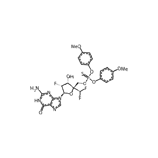 COc1ccc(OP(=S)(OC[C@@]2(C(F)F)O[C@@H](n3cnc4c(=O)[nH]c(N)nc43)[C@H](F)[C@@H]2O)Oc2ccc(OC)cc2)cc1